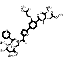 CCCCC[C@@H](C(=O)NCNC(=O)c1ccc(-c2ccc(C(=O)N[C@@H](CC(=O)OCCCC)C(=O)OCCCC)c(OCC(=O)OCCCC)c2)o1)[C@@H](CC)N(C=O)OC(=O)c1cccnc1